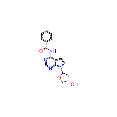 O=C(Nc1ncnc2c1ccn2[C@H]1C[C@H](O)CO1)c1ccccc1